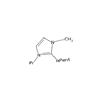 CCCCCc1n(C)cc[n+]1C(C)C